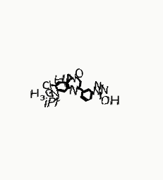 CC(C)CN(C)c1cc2c(cc1Cl)NC(=O)CC(c1cccc(-n3ncnc3CO)c1)=N2